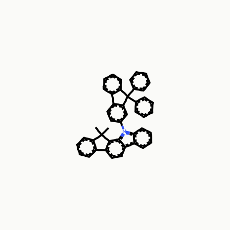 CC1(C)c2ccccc2-c2ccc3c4ccccc4n(-c4ccc5c(c4)C(c4ccccc4)(c4ccccc4)c4ccccc4-5)c3c21